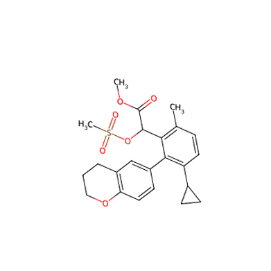 COC(=O)C(OS(C)(=O)=O)c1c(C)ccc(C2CC2)c1-c1ccc2c(c1)CCCO2